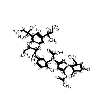 CCC(Oc1ccc(C(C)(C)CC)cc1C(C)(C)CC)C(=O)Nc1ccc(Cl)c(N(C(C)=O)c2cc(OC(C)=O)n(-c3c(Cl)cc(Cl)cc3Cl)n2)c1